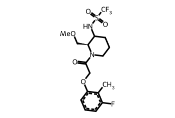 COC[C@H]1C(NS(=O)(=O)C(F)(F)F)CCCN1C(=O)COc1cccc(F)c1C